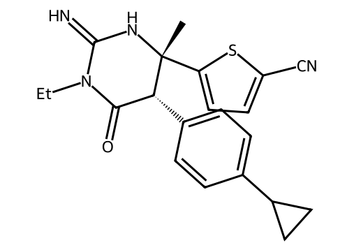 CCN1C(=N)N[C@](C)(c2ccc(C#N)s2)[C@H](c2ccc(C3CC3)cc2)C1=O